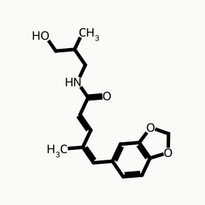 CC(C=CC(=O)NCC(C)CO)=Cc1ccc2c(c1)OCO2